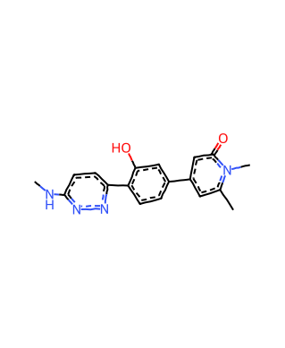 CNc1ccc(-c2ccc(-c3cc(C)n(C)c(=O)c3)cc2O)nn1